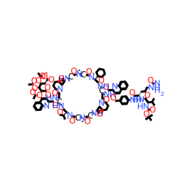 COC(=O)[C@H]1O[C@@H](Oc2cc3ccccc3nc2C(=O)N[C@@H]2CNC(=O)[C@H](C(C)C)N(C)C(=O)CN(C)C(=O)CNC(=O)[C@@H]3CCCCN3C(=O)[C@H](NC(=O)c3nc4ccccc4cc3OCc3ccc(NC(=O)[C@H](CCCNC(N)=O)NC(=O)[C@@H](NC(=O)OC(C)(C)C)C(C)C)cc3)CNC(=O)[C@H](C3CCCCC3)N(C)C(=O)CN(C)C(=O)CNC(=O)[C@@H]3CCCCN3C2=O)[C@H](OC(C)=O)[C@@H](OC(C)=O)[C@@H]1OC(C)=O